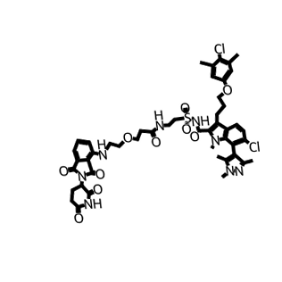 Cc1cc(OCCCc2c(C(=O)NS(=O)(=O)CCNC(=O)CCOCCNc3cccc4c3C(=O)N(C3CCC(=O)NC3=O)C4=O)n(C)c3c(-c4c(C)nn(C)c4C)c(Cl)ccc23)cc(C)c1Cl